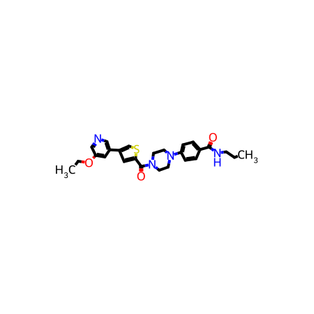 CCCNC(=O)c1ccc(N2CCN(C(=O)c3cc(-c4cncc(OCC)c4)cs3)CC2)cc1